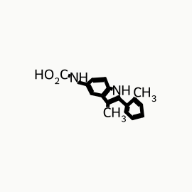 Cc1ccccc1-c1[nH]c2ccc(CNC(=O)O)cc2c1C